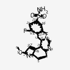 COC1=NC2C=Cc3ncnc(Cc4c(F)cc(S(N)(=O)=O)cc4F)c3C2=C1